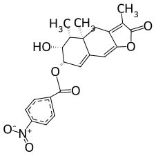 CC1=C2C[C@@]3(C)C(=C[C@H](OC(=O)c4ccc([N+](=O)[O-])cc4)[C@H](O)[C@@H]3C)C=C2OC1=O